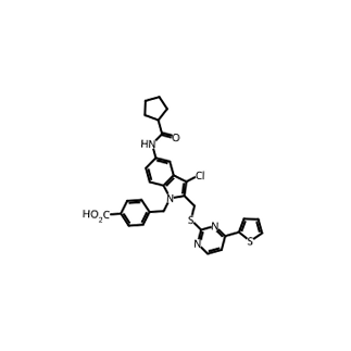 O=C(O)c1ccc(Cn2c(CSc3nccc(-c4cccs4)n3)c(Cl)c3cc(NC(=O)C4CCCC4)ccc32)cc1